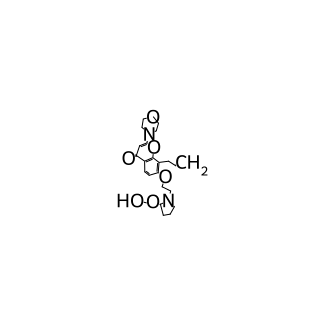 C=CCc1c(OCCN2CCC[C@H]2OCO)ccc2c(=O)cc(N3CCOCC3)oc12